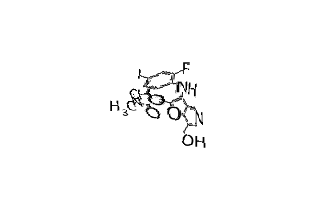 CN(C)C(=O)Oc1oc2c(CO)cncc2c1Nc1ccc(I)cc1F